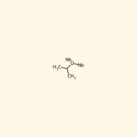 CC(C)[O][Nb].[Nb]